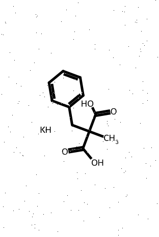 CC(Cc1ccccc1)(C(=O)O)C(=O)O.[KH]